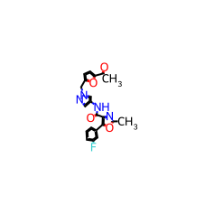 CC(=O)c1ccc(Cn2cc(NC(=O)c3nc(C)oc3-c3cccc(F)c3)cn2)o1